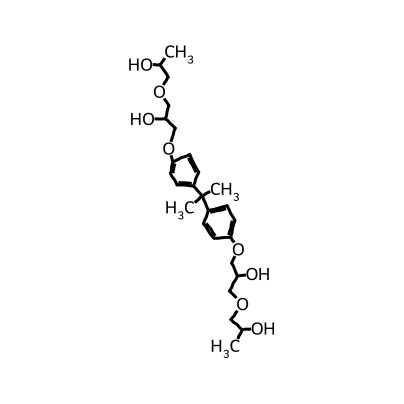 CC(O)COCC(O)COc1ccc(C(C)(C)c2ccc(OCC(O)COCC(C)O)cc2)cc1